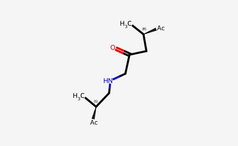 CC(=O)[C@H](C)CC(=O)CNC[C@H](C)C(C)=O